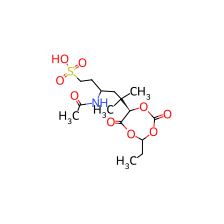 CCC1OC(=O)O[C@H](C(C)(C)CC(CCS(=O)(=O)O)NC(C)=O)C(=O)O1